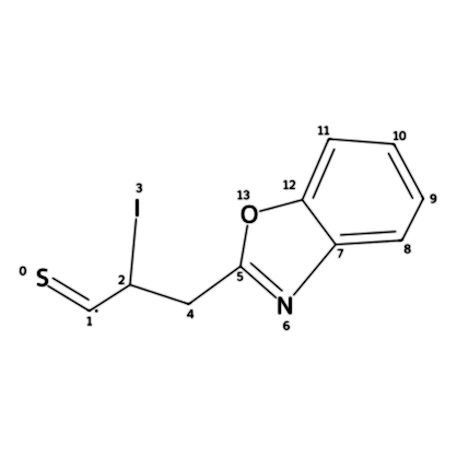 S=[C]C(I)Cc1nc2ccccc2o1